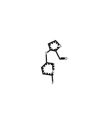 O=Cc1sccc1Sc1ccc(F)cc1